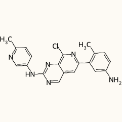 Cc1ccc(Nc2ncc3cc(-c4cc(N)ccc4C)nc(Cl)c3n2)cn1